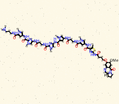 COC1C=C2C(=O)N3CCC[C@H]3C=NC2=CC1OCCCC(=O)Nc1nc(C(=O)Nc2cc(C(=O)NCCC(=O)Nc3cc(C(=O)Nc4cn(C)c(C(=O)NCCC(=O)Nc5cn(C)c(C(=O)Nc6cc(C(=O)NCCCN(C)C)n(C)c6)n5)n4)n(C)c3)n(C)c2)c(C)s1